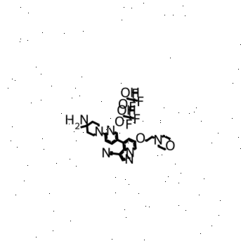 CC1(N)CCN(c2ccc(-c3cc(OCCN4CCOCC4)cn4ncc(C#N)c34)cn2)CC1.O=C(O)C(F)(F)F.O=C(O)C(F)(F)F